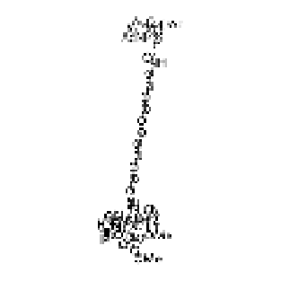 COc1ccc(C(OC[C@H]2O[C@@H](n3cnc4c(=O)[nH]c(NC(=O)C(C)C)nc43)[C@H](OCc3cn(CCOCCOCCOCCOCCOCCOCCOCCOCCOCCOCCOCCNC(=O)CCCCOC4OC(COC(C)=O)C(OC(C)=O)C(OC(C)=O)C4NC(C)=O)nn3)[C@@H]2OP(OCCC#N)N(C(C)C)C(C)C)(c2ccccc2)c2ccc(OC)cc2)cc1